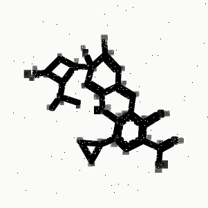 CN(C)C1C(N)CN1C1(F)C=C2Nc3c(c(=O)c(C(=O)O)cn3C3CC3)C=C2C=C1F